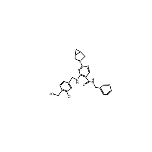 O=C(NCc1ccccc1)c1cnc(N2CC3CC3C2)nc1NCc1ccc(CO)c(Cl)c1